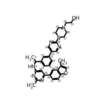 Cc1nc(NC(C)c2cccc(-c3cnc(N4CCN(CCO)CC4)nc3)c2)cc(-c2ccc3occ(C)c3c2)n1